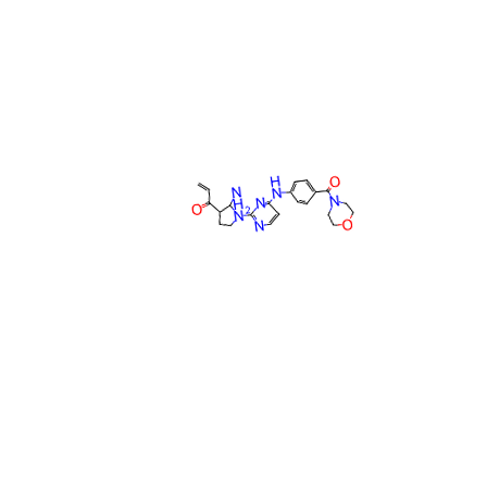 C=CC(=O)C1CCN(c2nccc(Nc3ccc(C(=O)N4CCOCC4)cc3)n2)C1N